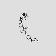 CC1(c2cccc(NC(=O)/C=C/c3ccc([N+](=O)[O-])cc3)c2)CCSC(N)=N1